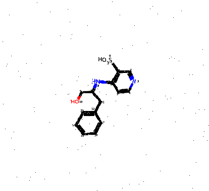 O=S(=O)(O)c1cnccc1NC(CO)Cc1ccccc1